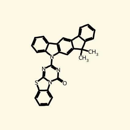 CC1(C)c2ccccc2-c2cc3c4ccccc4n(-c4nc(=O)n5c(n4)sc4ccccc45)c3cc21